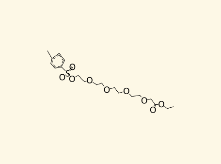 CCOC(=O)COCCOCCOCCOCCOS(=O)(=O)c1ccc(C)cc1